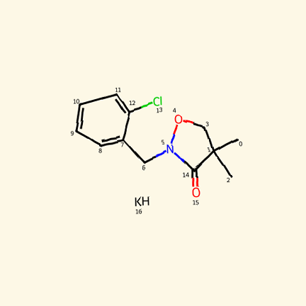 CC1(C)CON(Cc2ccccc2Cl)C1=O.[KH]